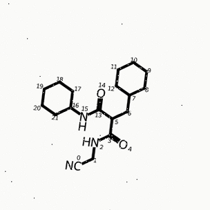 N#CCNC(=O)C(CC1CCCCC1)C(=O)NC1CCCCC1